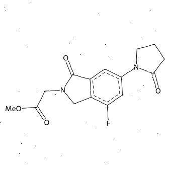 COC(=O)CN1Cc2c(F)cc(N3CCCC3=O)cc2C1=O